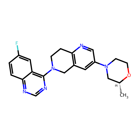 C[C@@H]1CN(c2cnc3c(c2)CN(c2ncnc4ccc(F)cc24)CC3)CCO1